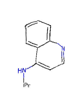 CC(C)Nc1ccnc2ccccc12